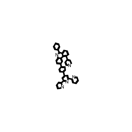 c1ccc(-c2nc3ccc(-c4ccc(-c5cc(-c6ccccn6)nc(-c6ccccn6)c5)cc4)cc3c3c(-c4ccncc4)cccc23)cc1